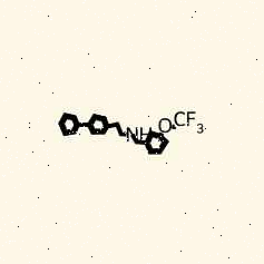 FC(F)(F)COc1cccc(CNCCc2ccc(-c3ccccc3)cc2)c1